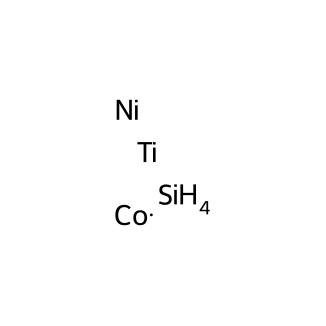 [Co].[Ni].[SiH4].[Ti]